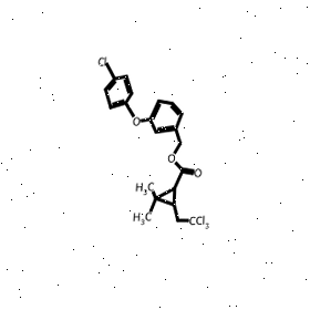 CC1(C)C(CC(Cl)(Cl)Cl)C1C(=O)OCc1cccc(Oc2ccc(Cl)cc2)c1